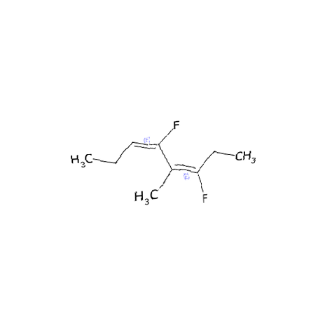 CC/C=C(F)\C(C)=C(\F)CC